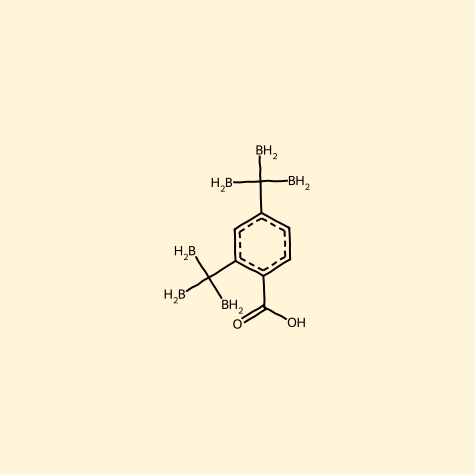 BC(B)(B)c1ccc(C(=O)O)c(C(B)(B)B)c1